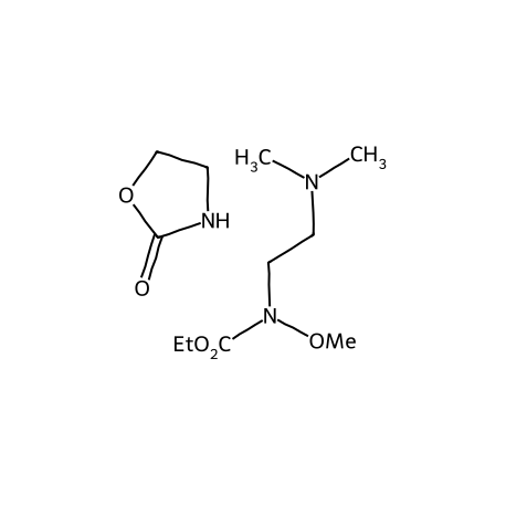 CCOC(=O)N(CCN(C)C)OC.O=C1NCCO1